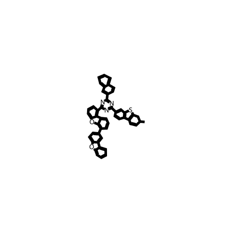 CC1C=Cc2c(sc3cc(-c4nc(-c5ccc6ccccc6c5)nc(-c5cccc6oc7c(-c8ccc9oc%10ccccc%10c9c8)cccc7c56)n4)ccc23)C1